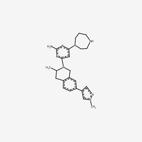 CC1Cc2ccc(-c3cnn(C)c3)cc2CN1c1cc(N2CCCNCC2)nc(N)n1